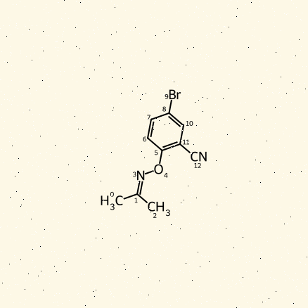 CC(C)=NOc1ccc(Br)cc1C#N